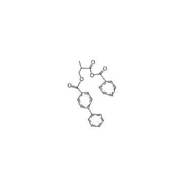 CC(COC(=O)c1ccc(-c2ccccc2)cc1)C(=O)OC(=O)c1ccccc1